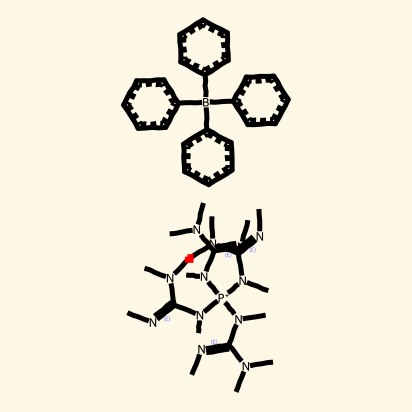 C/N=C(\N(C)C)N(C)[P+](N(C)/C(=N/C)N(C)C)(N(C)/C(=N/C)N(C)C)N(C)/C(=N/C)N(C)C.c1ccc([B-](c2ccccc2)(c2ccccc2)c2ccccc2)cc1